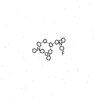 Fc1ccc(-n2c3ccccc3c3ccc(-c4cc(-c5cccc(-c6cccc(N(c7ccccc7)c7ccccc7)c6)c5)cc(-c5ccc6c(c5)oc5ccccc56)c4)cc32)cc1